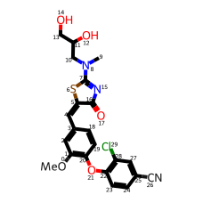 COc1cc(C=C2SC(N(C)CC(O)CO)=NC2=O)ccc1Oc1ccc(C#N)cc1Cl